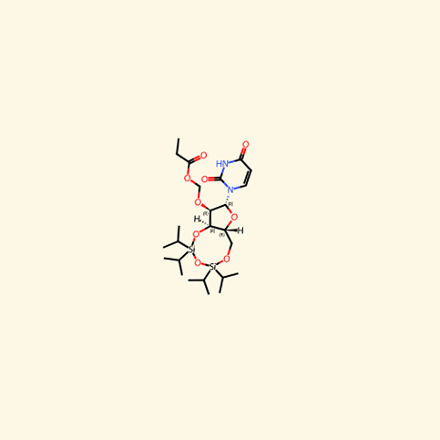 CCC(=O)OCO[C@@H]1[C@@H]2O[Si](C(C)C)(C(C)C)O[Si](C(C)C)(C(C)C)OC[C@H]2O[C@H]1n1ccc(=O)[nH]c1=O